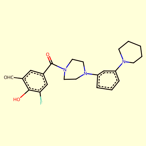 O=Cc1cc(C(=O)N2CCN(c3cccc(N4CCCCC4)c3)CC2)cc(F)c1O